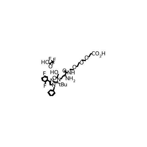 CC(C)(C)[C@H](c1nc(-c2cc(F)ccc2F)cn1Cc1ccccc1)N(CC[C@H](N)C(=O)NCCOCCOCCOCCC(=O)O)C(=O)CO.O=C(O)C(F)(F)F